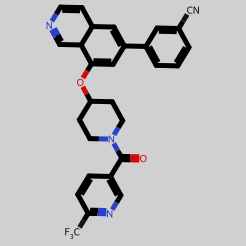 N#Cc1cccc(C2=CC3C=CN=CC3C(OC3CCN(C(=O)c4ccc(C(F)(F)F)nc4)CC3)=C2)c1